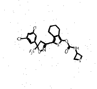 O=C(NC1CSC1)Oc1sc(C2=NOC(c3cc(Cl)cc(Cl)c3)(C(F)(F)F)C2)c2c1CCCC2